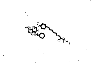 COC(=O)CCCCCCCc1ccc(Nc2nc(NC3CCCCC3)c3ncn(PI)c3n2)cc1